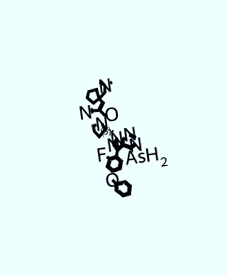 CN(C)CC1(C=C(C#N)C(=O)N2CCC[C@H]2Cn2nc(-c3ccc(Oc4ccccc4)cc3F)c3c([AsH2])ncnc32)CCCC1